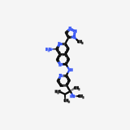 CN[C@](C)(c1ccnc(Nc2cc3cc(-c4cnnn4C)nc(N)c3cn2)c1)C(C)C